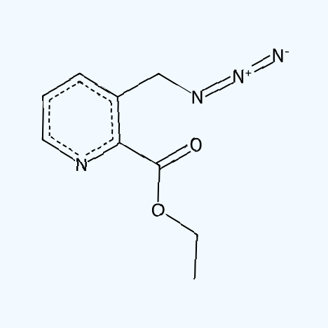 CCOC(=O)c1ncccc1CN=[N+]=[N-]